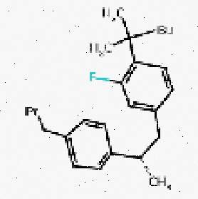 CCC(C)C(C)(C)c1ccc(C[C@H](C)c2ccc(CC(C)C)cc2)cc1F